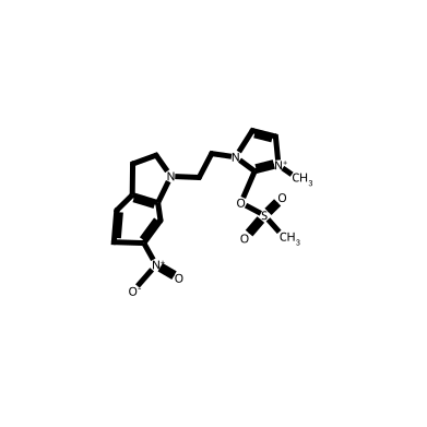 C[n+]1ccn(CCN2CCc3ccc([N+](=O)[O-])cc32)c1OS(C)(=O)=O